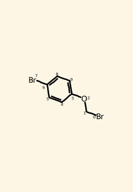 BrCOc1ccc(Br)cc1